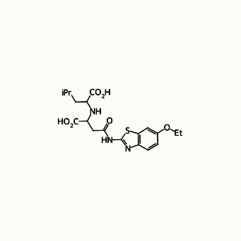 CCOc1ccc2nc(NC(=O)CC(NC(CC(C)C)C(=O)O)C(=O)O)sc2c1